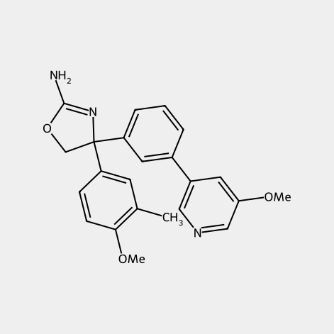 COc1cncc(-c2cccc(C3(c4ccc(OC)c(C)c4)COC(N)=N3)c2)c1